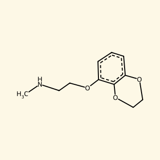 CNCCOc1cccc2c1OCCO2